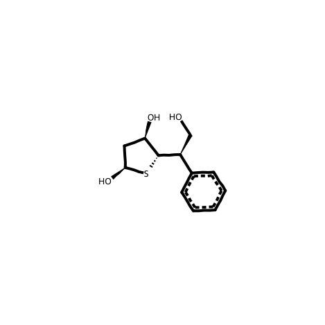 OC[C@@H](c1ccccc1)[C@@H]1S[C@@H](O)C[C@H]1O